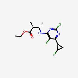 CCOC(=O)[C@@H](C)[C@H](C)Nc1nc(Cl)nc(C2CC2F)c1F